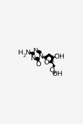 Nc1ncn([C@H]2C[C@H](O)[C@@H](COO)O2)c(=O)n1